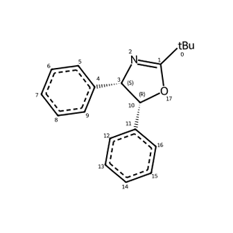 CC(C)(C)C1=N[C@@H](c2ccccc2)[C@@H](c2ccccc2)O1